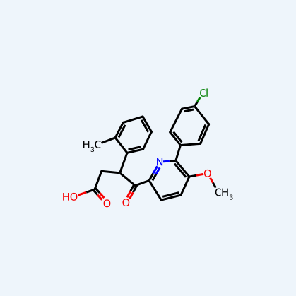 COc1ccc(C(=O)C(CC(=O)O)c2ccccc2C)nc1-c1ccc(Cl)cc1